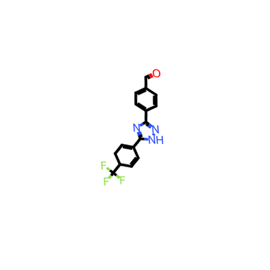 O=Cc1ccc(-c2n[nH]c(C3=CCC(C(F)(F)F)C=C3)n2)cc1